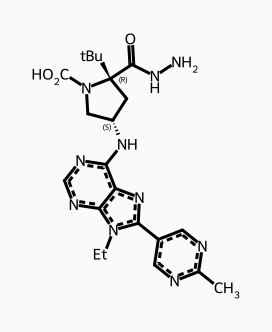 CCn1c(-c2cnc(C)nc2)nc2c(N[C@@H]3CN(C(=O)O)[C@@](C(=O)NN)(C(C)(C)C)C3)ncnc21